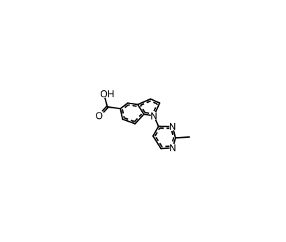 Cc1nccc(-n2ccc3cc(C(=O)O)ccc32)n1